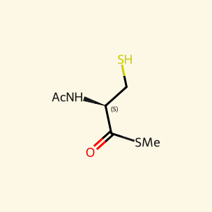 CSC(=O)[C@H](CS)NC(C)=O